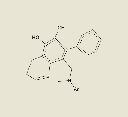 CC(=O)N(C)Cc1c2c(c(O)c(O)c1-c1ccccc1)CCC=C2